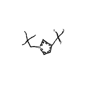 CC(C)(C)Cn1ccc(C(F)(F)F)c1